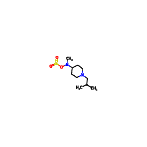 C[C](C)CN1CCC(N(C)O[SH](=O)=O)CC1